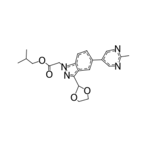 Cc1ncc(-c2ccc3c(c2)c(C2OCCO2)nn3CC(=O)OCC(C)C)cn1